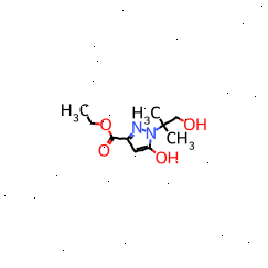 CCOC(=O)c1cc(O)n(C(C)(C)CO)n1